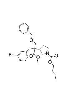 CCCCOC(=O)N1CC[C@H](C(COCc2ccccc2)(Cc2cccc(Br)c2)C(=O)OC)C1